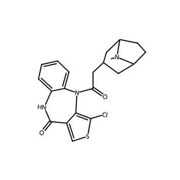 CN1C2CCC1CC(CC(=O)N1c3ccccc3NC(=O)c3csc(Cl)c31)C2